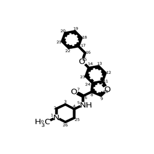 CN1CCC(NC(=O)c2coc3ccc(OCc4ccccc4)cc23)CC1